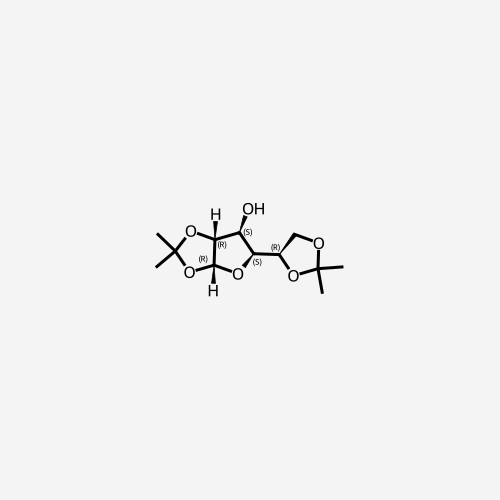 CC1(C)O[C@H]2O[C@H]([C@H]3COC(C)(C)O3)[C@H](O)[C@H]2O1